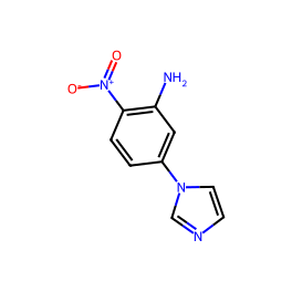 Nc1cc(-n2ccnc2)ccc1[N+](=O)[O-]